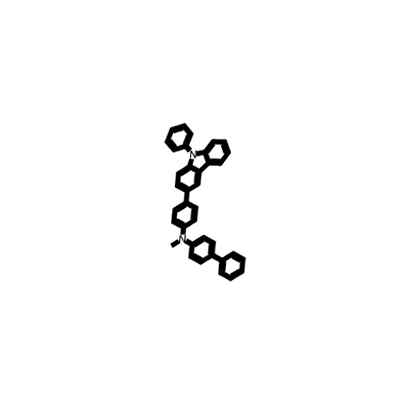 CN(c1ccc(-c2ccccc2)cc1)c1ccc(-c2ccc3c(c2)c2ccccc2n3-c2ccccc2)cc1